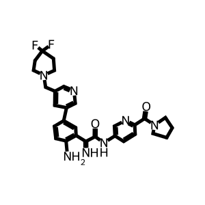 N=C(C(=O)Nc1ccc(C(=O)N2CCCC2)nc1)c1cc(-c2cncc(CN3CCC(F)(F)CC3)c2)ccc1N